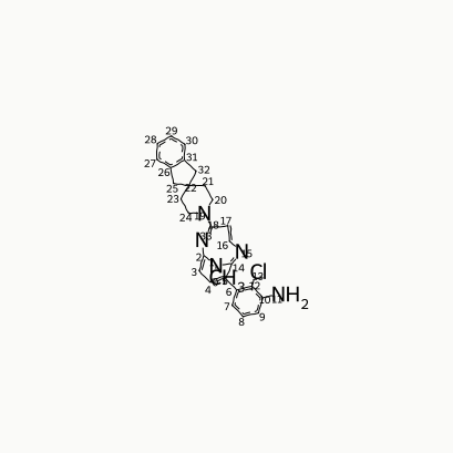 CN1C2=CC=C(c3cccc(N)c3Cl)/C1=N/C=C/C(N1CCC3(CC1)Cc1ccccc1C3)=N\2